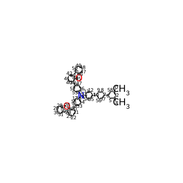 Cc1cc(C)cc(-c2ccc(-c3ccc(N(c4ccc(-c5cccc6c5oc5ccccc56)cc4)c4ccc(-c5cccc6c5oc5ccccc56)cc4)cc3)cc2)c1